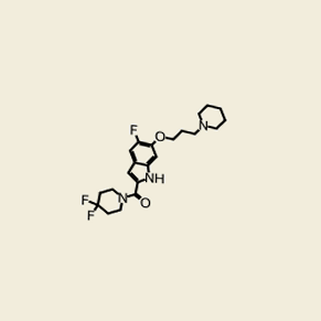 O=C(c1cc2cc(F)c(OCCCN3CCCCC3)cc2[nH]1)N1CCC(F)(F)CC1